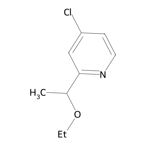 CCOC(C)c1cc(Cl)ccn1